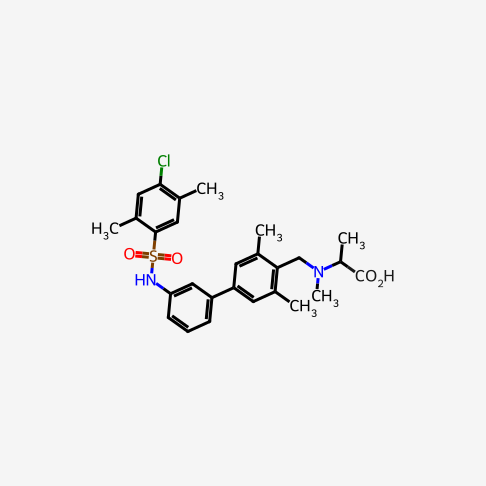 Cc1cc(S(=O)(=O)Nc2cccc(-c3cc(C)c(CN(C)C(C)C(=O)O)c(C)c3)c2)c(C)cc1Cl